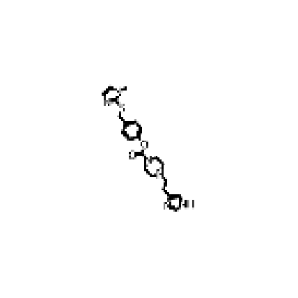 Cn1ccnc1SCc1ccc(OC(=O)N2CCN(CCc3c[nH]cn3)CC2)cc1